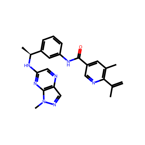 C=C(C)c1ncc(C(=O)Nc2cccc([C@H](C)Nc3cnc4cnn(C)c4n3)c2)cc1C